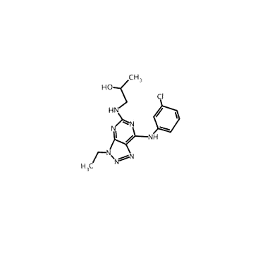 CCn1nnc2c(Nc3cccc(Cl)c3)nc(NCC(C)O)nc21